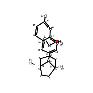 CN(C)[C@@H]1C[C@H]2CC[C@@H](C1)N2c1cnc2nc(Cl)ccc2n1